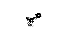 CCCCOc1cc(COc2ccccc2C)nnc1OCCCC